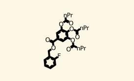 CCCC(=O)Oc1cc(C(=O)OCc2ccccc2F)cc(OC(=O)CCC)c1OC(=O)CCC